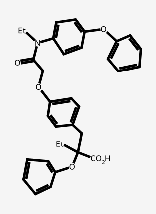 CCN(C(=O)COc1ccc(CC(CC)(Oc2ccccc2)C(=O)O)cc1)c1ccc(Oc2ccccc2)cc1